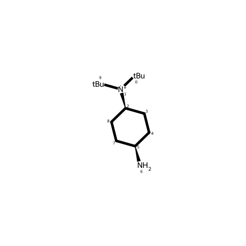 CC(C)(C)[N+]([C@H]1CC[C@@H](N)CC1)C(C)(C)C